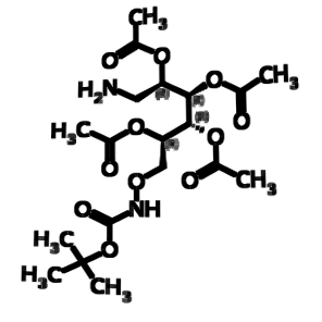 CC(=O)O[C@@H]([C@H](OC(C)=O)[C@@H](CONC(=O)OC(C)(C)C)OC(C)=O)[C@@H](CN)OC(C)=O